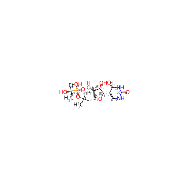 CCCC(C)(C[C@H]1O[C@@H](c2c[nH]c(=O)[nH]c2=O)[C@H](O)[C@@H]1O)OP(=O)(O)C(C)(O)CC